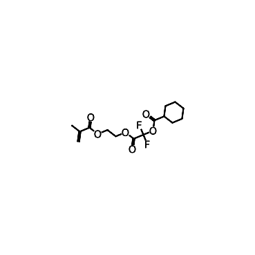 C=C(C)C(=O)OCCOC(=O)C(F)(F)OC(=O)C1CCCCC1